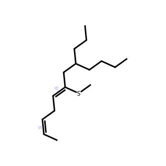 C/C=C\C/C=C(/CC(CCC)CCCC)SC